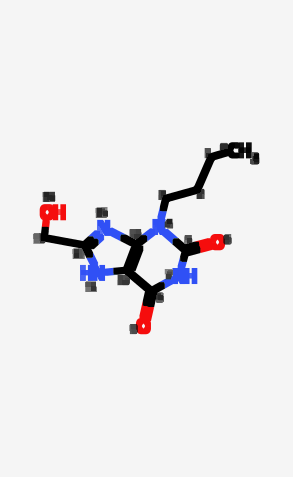 CCCCn1c(=O)[nH]c(=O)c2[nH]c(CO)nc21